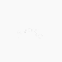 COc1ccc2nc(NC(=O)[C@H](CC3CCCC3)c3ccc(S(=O)(=O)N(CCC(=O)O)Cc4ncco4)cc3)sc2n1